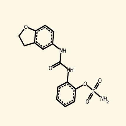 NS(=O)(=O)Oc1ccccc1NC(=O)Nc1ccc2c(c1)CCO2